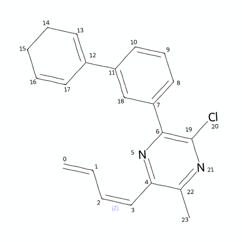 C=C/C=C\c1nc(-c2cccc(C3=CCCC=C3)c2)c(Cl)nc1C